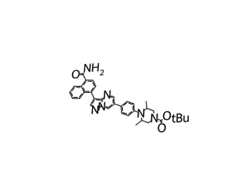 CC1CN(C(=O)OC(C)(C)C)CC(C)N1c1ccc(-c2cnc3c(-c4ccc(C(N)=O)c5ccccc45)cnn3c2)cc1